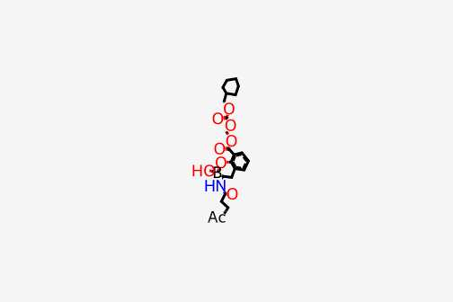 CC(=O)CCC(=O)N[C@H]1Cc2cccc(C(=O)OCOC(=O)OCC3CCCCC3)c2OB1O